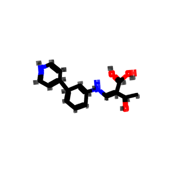 CC(=O)/C(=C/Nc1cccc(-c2ccncc2)c1)C(=O)O